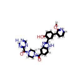 C/N=C(\N=C/N)C(=O)N1CCN(C(=O)c2ccc3[nH]c(-c4cc(-c5cccnc5OC)ccc4O)nc3c2)CC1